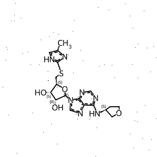 Cc1c[nH]c(SC[C@H]2O[C@@H](n3cnc4c(N[C@H]5CCOC5)ncnc43)[C@H](O)[C@@H]2O)n1